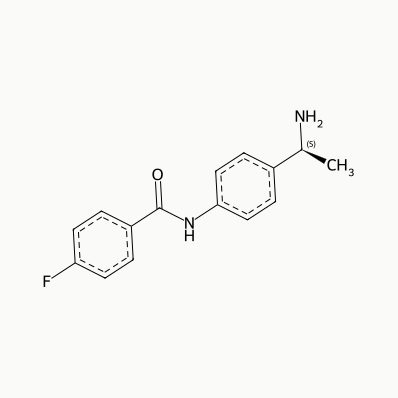 C[C@H](N)c1ccc(NC(=O)c2ccc(F)cc2)cc1